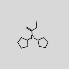 C=C(CC)P(C1CCCC1)C1CCCC1